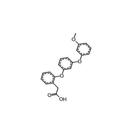 COc1cccc(Oc2cccc(Oc3ccccc3CC(=O)O)c2)c1